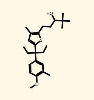 CCC(CC)(c1ccc(OC)c(C)c1)c1cc(C)c(CCC(O)C(C)(C)C)s1